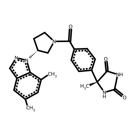 Cc1cc(C)c2c(cnn2[C@@H]2CCN(C(=O)c3ccc([C@@]4(C)NC(=O)NC4=O)cc3)C2)c1